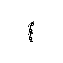 C=C(C)c1ccc(CCC(=O)Oc2ccc(C=CC(=O)c3ccc(F)cc3)cc2)cc1